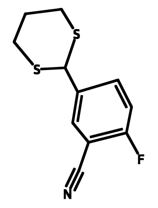 N#Cc1cc(C2SCCCS2)ccc1F